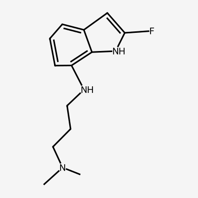 CN(C)CCCNc1cccc2cc(F)[nH]c12